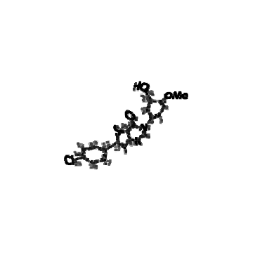 COc1ccc(-n2cnc3cc(-c4ccc(Cl)cc4)sc3c2=O)cc1O